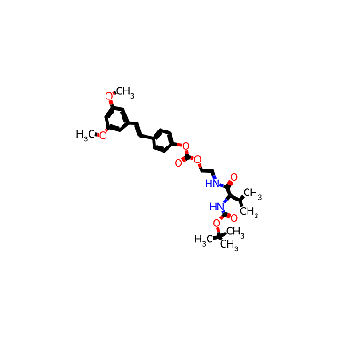 COc1cc(C=Cc2ccc(OC(=O)OCCNC(=O)C(NC(=O)OC(C)(C)C)C(C)C)cc2)cc(OC)c1